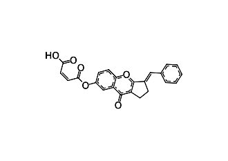 O=C(O)/C=C\C(=O)Oc1ccc2oc3c(c(=O)c2c1)CC/C3=C\c1ccccc1